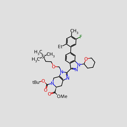 CCc1cc(C)c(F)cc1-c1ccc2c(-c3nc4c(n3COCC[Si](C)(C)C)CN(C(=O)OC(C)(C)C)[C@H](C(=O)OC)C4)nn(C3CCCCO3)c2c1